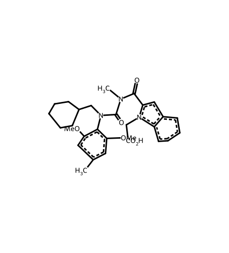 COc1cc(C)cc(OC)c1N(CC1CCCCC1)C(=O)N(C)C(=O)c1cc2ccccc2n1CC(=O)O